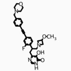 COC1CN(CC(Cc2nc[nH]c(=O)c2O)c2ccc(C#Cc3ccc(CN4CCOCC4)cc3)cc2F)C1